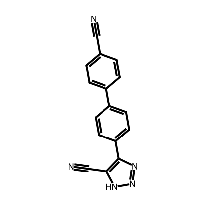 N#Cc1ccc(-c2ccc(-c3nn[nH]c3C#N)cc2)cc1